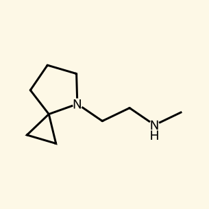 CNCCN1CCCC12CC2